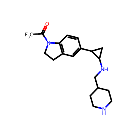 O=C(N1CCc2cc(C3CC3NCC3CCNCC3)ccc21)C(F)(F)F